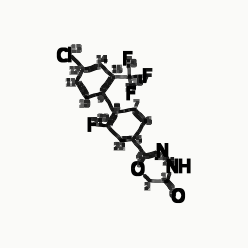 O=C1COC(c2ccc(-c3ccc(Cl)cc3C(F)(F)F)c(F)c2)=NN1